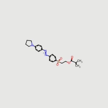 C=C(C)C(=O)OCCS(=O)(=O)c1ccc(/N=N/c2ccc(N3CCCC3)cc2)cc1